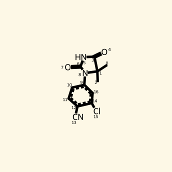 CC1(C)C(=O)NC(=O)N1c1ccc(C#N)c(Cl)c1